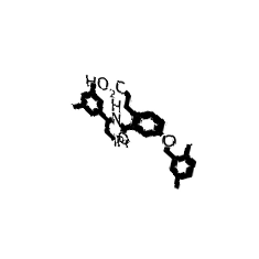 Cc1cc(C)cc(C(CC(C)C)NC(=O)c2cc(OCc3cc(C)ccc3C)ccc2CCC(=O)O)c1